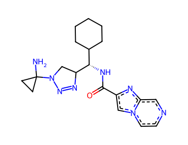 NC1(N2CC([C@@H](NC(=O)c3cn4ccncc4n3)C3CCCCC3)N=N2)CC1